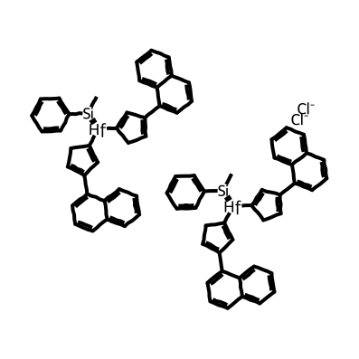 C[Si](c1ccccc1)=[Hf]([C]1=CC(c2cccc3ccccc23)=CC1)[C]1=CC(c2cccc3ccccc23)=CC1.C[Si](c1ccccc1)=[Hf]([C]1=CC(c2cccc3ccccc23)=CC1)[C]1=CC(c2cccc3ccccc23)=CC1.[Cl-].[Cl-]